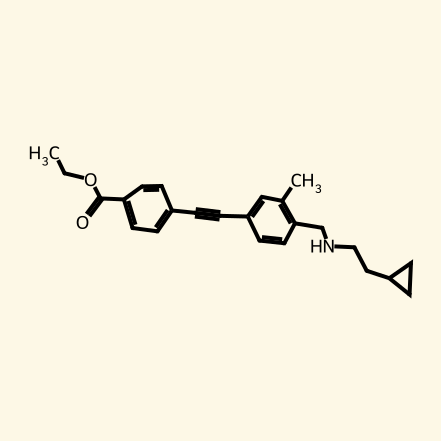 CCOC(=O)c1ccc(C#Cc2ccc(CNCCC3CC3)c(C)c2)cc1